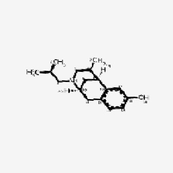 CC(C)CN1C[C@@H](C)[C@@H]2C[C@H]1Cc1ccc(O)cc12